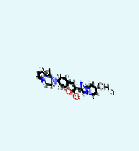 Cc1ccn2cc(-c3cc4ccc(N5CCN6CCC[C@H]6C5)cc4oc3=O)nc2c1